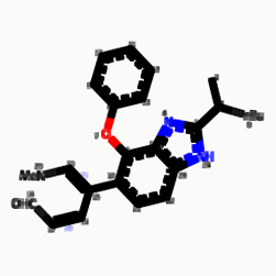 CCCCC(C)c1nc2c(Oc3ccccc3)c(C(/C=C\C=O)=C/NC)ccc2[nH]1